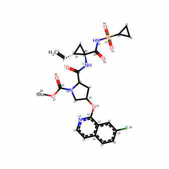 C=C[C@@H]1C[C@]1(NC(=O)C1CC(Oc2nccc3ccc(F)cc23)CN1C(=O)OC(C)(C)C)C(=O)NS(=O)(=O)C1CC1